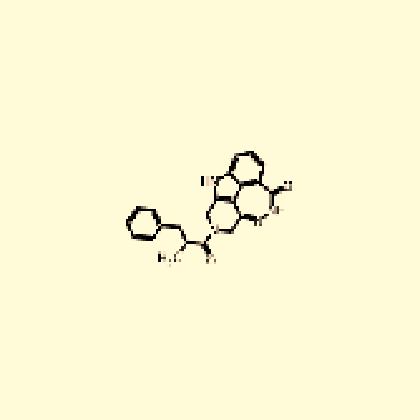 C[C@@H](Cc1ccccc1)C(=O)N1CC2=NNC(=O)c3cccc4[nH]c(c2c34)C1